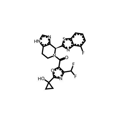 O=C(c1oc(C2(O)CC2)nc1C(F)F)N1CCc2[nH]cnc2[C@H]1c1nc2c(F)cccc2s1